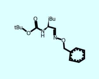 CC[C@H](C)[C@@H](C=NOCc1ccccc1)NC(=O)OC(C)(C)C